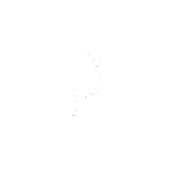 N#Cc1ccc(CN2CCN(c3ncc(C(=O)NC4=C(N)CCC(c5cccs5)=C4)s3)CC2)cc1